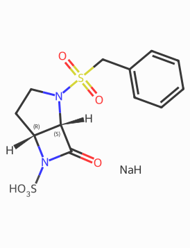 O=C1[C@@H]2[C@@H](CCN2S(=O)(=O)Cc2ccccc2)N1S(=O)(=O)O.[NaH]